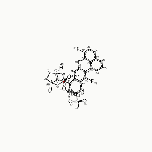 CC(C)(C)OC(=O)N1[C@@H]2CC[C@H]1CN(c1nc(S(C)(=O)=O)nc3c(F)c(-c4cccc5ccc(F)c(F)c45)ncc13)C2